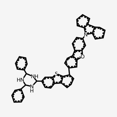 c1ccc(C2NC(c3ccccc3)NC(c3ccc4c(c3)sc3c(-c5ccc6c(c5)oc5cc(-n7c8ccccc8c8ccccc87)ccc56)cccc34)N2)cc1